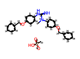 CN(C(=N)Nc1ccc(OCc2ccccc2)cc1)c1ccc(OCc2ccccc2)cc1.CS(=O)(=O)O